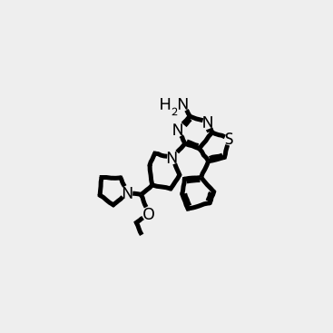 CCOC(C1CCN(c2nc(N)nc3scc(-c4ccccc4)c23)CC1)N1CCCC1